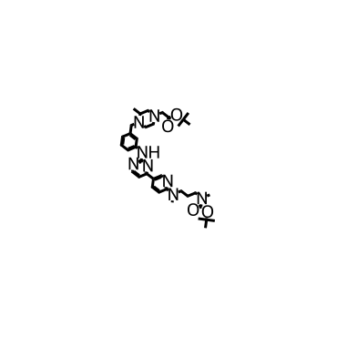 CC1CN(CC(=O)OC(C)(C)C)CCN1Cc1cccc(Nc2nccc(-c3ccc(N(C)CCCN(C)C(=O)OC(C)(C)C)nc3)n2)c1